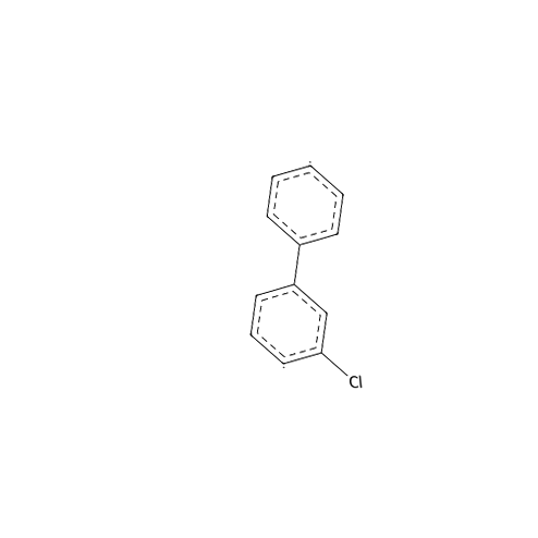 Clc1[c]ccc(-c2cc[c]cc2)c1